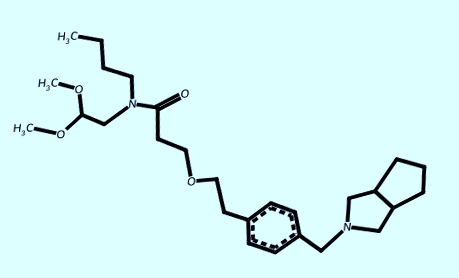 CCCCN(CC(OC)OC)C(=O)CCOCCc1ccc(CN2CC3CCCC3C2)cc1